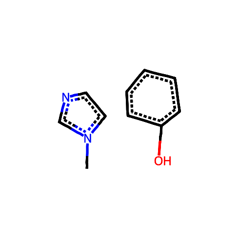 Cn1ccnc1.Oc1ccccc1